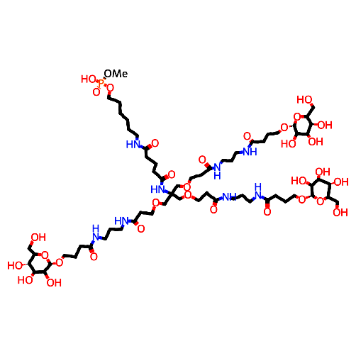 COP(=O)(O)OCCCCCCNC(=O)CCCC(=O)NC(COCCC(=O)NCCCNC(=O)CCCO[C@@H]1OC(CO)[C@@H](O)C(O)C1O)(COCCC(=O)NCCCNC(=O)CCCO[C@@H]1OC(CO)[C@@H](O)C(O)C1O)COCCC(=O)NCCCNC(=O)CCCO[C@@H]1OC(CO)[C@@H](O)C(O)C1O